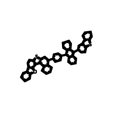 c1ccc2c(c1)oc1c2ccc2sc3cc(-c4ccc(-c5c6ccccc6c(-c6ccc7sc8ccccc8c7c6)c6ccccc56)cc4)c4ccccc4c3c21